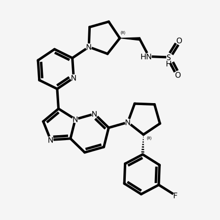 O=[SH](=O)NC[C@@H]1CCN(c2cccc(-c3cnc4ccc(N5CCC[C@@H]5c5cccc(F)c5)nn34)n2)C1